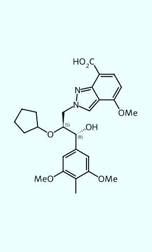 COc1cc([C@@H](O)[C@H](Cn2cc3c(OC)ccc(C(=O)O)c3n2)OC2CCCC2)cc(OC)c1C